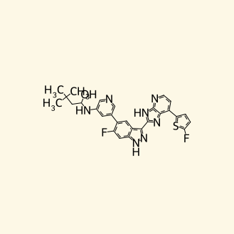 CC(C)(C)CC(O)Nc1cncc(-c2cc3c(-c4nc5c(-c6ccc(F)s6)ccnc5[nH]4)n[nH]c3cc2F)c1